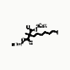 CCCCCCCCCCOC(=O)C(C)(CCCCCCI)C(=O)OCCCCCCCC